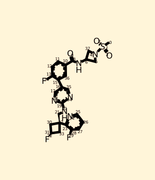 CS(=O)(=O)N1CC(NC(=O)c2ccc(F)c(-c3cnc(NC[C@]4(c5ncccc5F)C[C@H](F)C4)nc3)c2)C1